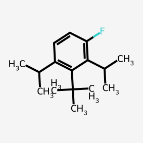 CC(C)c1ccc(F)c(C(C)C)c1C(C)(C)C